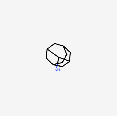 NC1C2CC3CCC(C2)CC1C3